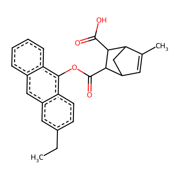 CCc1ccc2c(OC(=O)C3C4C=C(C)C(C4)C3C(=O)O)c3ccccc3cc2c1